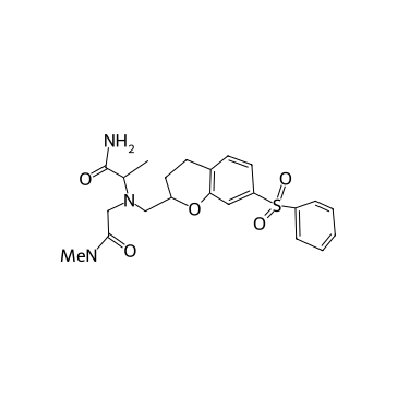 CNC(=O)CN(CC1CCc2ccc(S(=O)(=O)c3ccccc3)cc2O1)C(C)C(N)=O